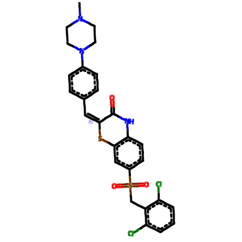 CN1CCN(c2ccc(/C=C3/Sc4cc(S(=O)(=O)Cc5c(Cl)cccc5Cl)ccc4NC3=O)cc2)CC1